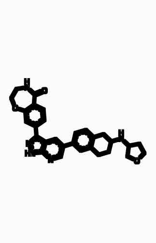 O=C1NCCOc2cc(-c3n[nH]c4ncc(-c5ccc6c(c5)CCC(NC5CCOC5)C6)cc34)ccc21